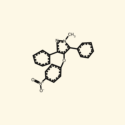 Cn1nc(-c2ccccc2)c(Oc2ccc([N+](=O)[O-])cc2)c1-c1ccccc1